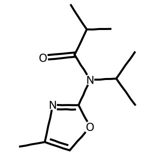 Cc1coc(N(C(=O)C(C)C)C(C)C)n1